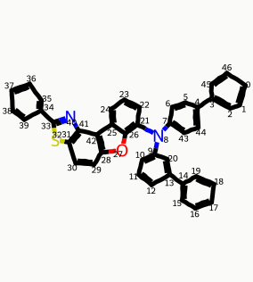 c1ccc(-c2ccc(N(c3cccc(-c4ccccc4)c3)c3cccc4c3oc3ccc5sc(-c6ccccc6)nc5c34)cc2)cc1